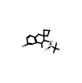 CC1c2cc(Br)ccc2CC2(CCC2)C1N[S+]([O-])C(C)(C)C